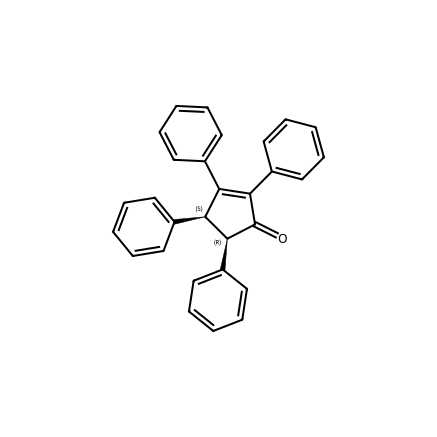 O=C1C(c2ccccc2)=C(c2ccccc2)[C@H](c2ccccc2)[C@@H]1c1ccccc1